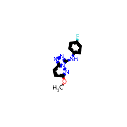 COc1ccc2nnc(Nc3ccc(F)cc3)n2n1